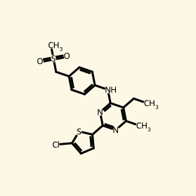 CCc1c(C)nc(-c2ccc(Cl)s2)nc1Nc1ccc(CS(C)(=O)=O)cc1